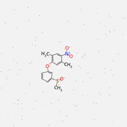 Cc1cc([N+](=O)[O-])c(C)cc1Oc1cccc([S+](C)[O-])c1